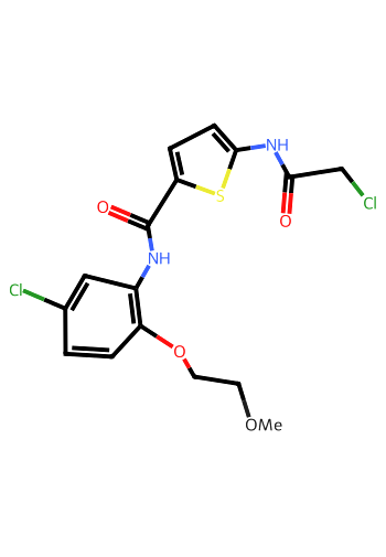 COCCOc1ccc(Cl)cc1NC(=O)c1ccc(NC(=O)CCl)s1